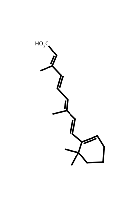 CC(/C=C/C1=CCCCC1(C)C)=C\C=C\C(C)=C\C(=O)O